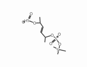 CC(/C=C/C(C)OS(=O)(=O)O[Si](C)(C)C)O[SH](=O)=O